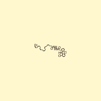 CC/C=C\C/C=C\C/C=C\C/C=C\C/C=C\C/C=C\CCC(=O)NCCNC(=O)Cc1ccccc1Nc1c(Cl)cccc1Cl